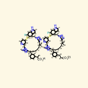 CC(C(=O)O)c1cccc([C@@]2(C)CCCCC(C)(C)c3cn(nn3)Cc3c(c(F)cc4[nH]ccc34)Sc3ccnc(c3)-c3nc2nn3C)c1.CCOC(=O)CCc1cccc([C@@]2(C)CCCCC(C)(C)c3cn(nn3)Cc3c(c(F)cc4[nH]ccc34)Sc3ccnc(c3)-c3nc2nn3C)c1